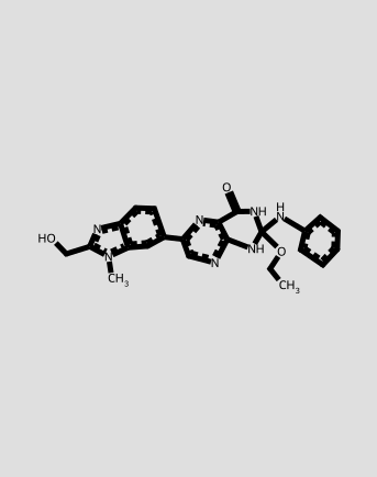 CCOC1(Nc2ccccc2)NC(=O)c2nc(-c3ccc4nc(CO)n(C)c4c3)cnc2N1